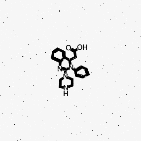 O=C(O)CC1c2ccccc2N=C(N2CCNCC2)N1c1ccccc1